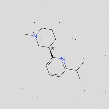 CC(C)c1cccc([C@@H]2CCCN(C)C2)n1